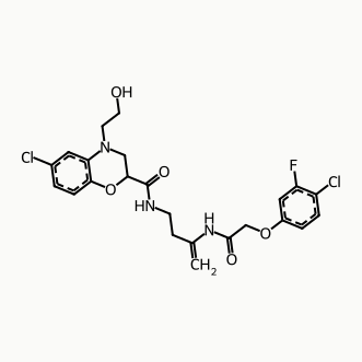 C=C(CCNC(=O)C1CN(CCO)c2cc(Cl)ccc2O1)NC(=O)COc1ccc(Cl)c(F)c1